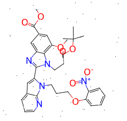 COC(=O)c1cc(OC)c2c(c1)nc(-c1cc3cccnc3n1CCCOc1ccccc1[N+](=O)[O-])n2CCC(=O)OC(C)(C)C